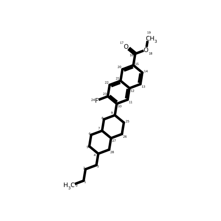 CCCCC1CCC2CC(c3cc4ccc(C(=O)OC)cc4cc3F)CCC2C1